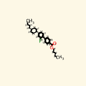 CCCCCOC(=O)c1ccc(-c2ccc([C@H]3CC[C@H](CCCC)CC3)cc2F)cc1